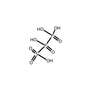 O=P(O)(O)P(=O)(O)S(=O)(=O)O